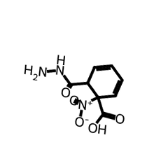 NNC(=O)C1C=CC=CC1(C(=O)O)[N+](=O)[O-]